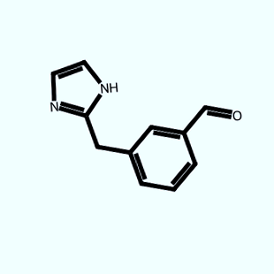 O=Cc1cccc(Cc2ncc[nH]2)c1